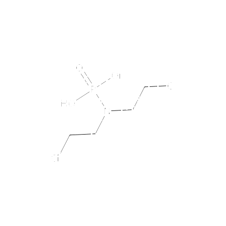 O=P(O)(O)N(CCCl)CCCl